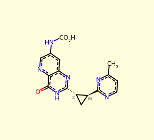 Cc1ccnc([C@H]2C[C@@H]2c2nc3cc(NC(=O)O)cnc3c(=O)[nH]2)n1